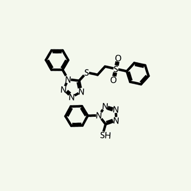 O=S(=O)(CCSc1nnnn1-c1ccccc1)c1ccccc1.Sc1nnnn1-c1ccccc1